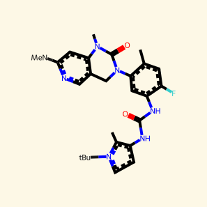 CNc1cc2c(cn1)CN(c1cc(NC(=O)Nc3ccn(C(C)(C)C)c3C)c(F)cc1C)C(=O)N2C